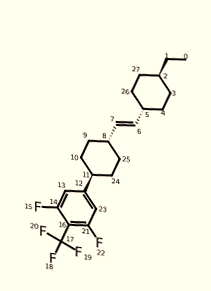 CC[C@H]1CC[C@H](C=C[C@H]2CC[C@H](c3cc(F)c(C(F)(F)F)c(F)c3)CC2)CC1